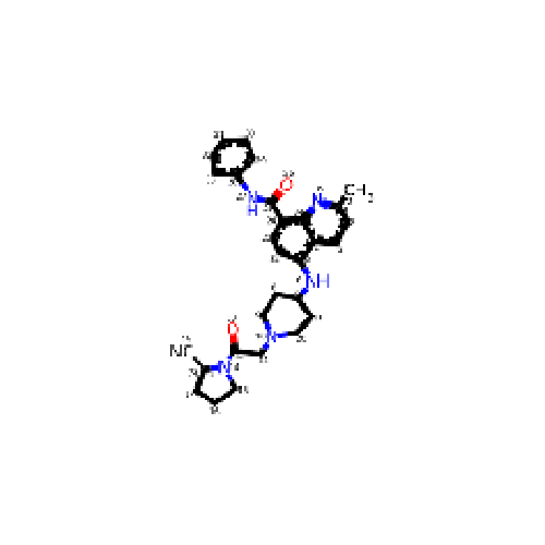 Cc1ccc2c(NC3CCN(CC(=O)N4CCC[C@H]4C#N)CC3)ccc(C(=O)Nc3ccccc3)c2n1